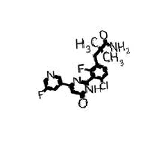 CC(C)(Cc1ccc(Cl)c(-c2nc(-c3cncc(F)c3)cc(=O)[nH]2)c1F)C(N)=O